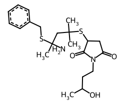 CC(O)CCN1C(=O)CC(SC(C)(C)CC(C)(N)SCc2ccccc2)C1=O